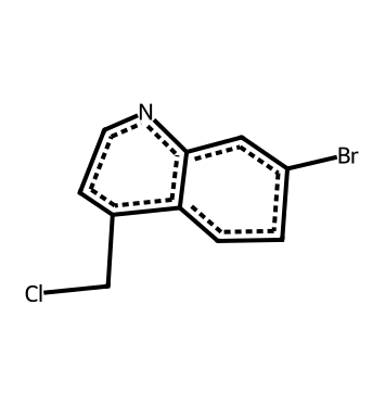 ClCc1ccnc2cc(Br)ccc12